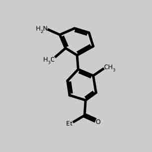 CCC(=O)c1ccc(-c2cccc(N)c2C)c(C)c1